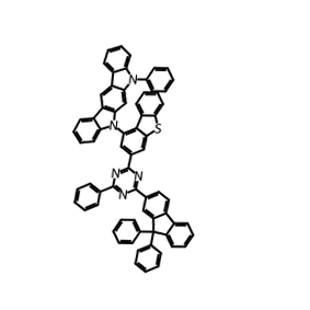 c1ccc(-c2nc(-c3ccc4c(c3)C(c3ccccc3)(c3ccccc3)c3ccccc3-4)nc(-c3cc(-n4c5ccccc5c5cc6c7ccccc7n(-c7ccccc7)c6cc54)c4c(c3)sc3ccccc34)n2)cc1